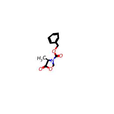 C[C@@H]1C(=O)OCN1C(=O)OCc1ccccc1